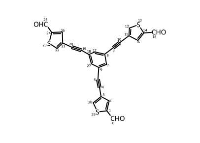 O=Cc1cc(C#Cc2cc(C#Cc3csc(C=O)c3)cc(C#Cc3csc(C=O)c3)c2)cs1